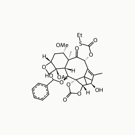 CCSC(=O)O[C@H]1C(=O)[C@]2(C)[C@@H](OC)C[C@H]3OC[C@@]3(OC(C)=O)[C@H]2[C@H](OC(O)c2ccccc2)[C@]23OC(=O)O[C@H]2[C@H](O)C(C)=C1C3(C)C